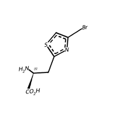 N[C@@H](Cc1nc(Br)cs1)C(=O)O